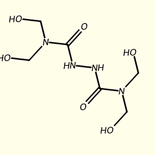 O=C(NNC(=O)N(CO)CO)N(CO)CO